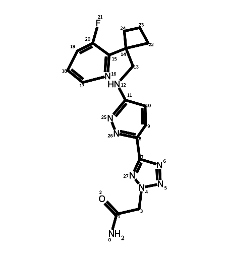 NC(=O)Cn1nnc(-c2ccc(NCC3(c4ncccc4F)CCC3)nn2)n1